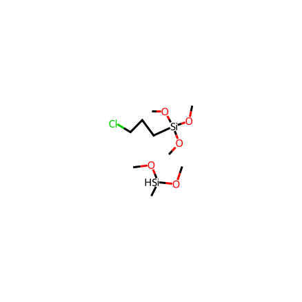 CO[SiH](C)OC.CO[Si](CCCCl)(OC)OC